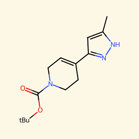 Cc1cc(C2=CCN(C(=O)OC(C)(C)C)CC2)n[nH]1